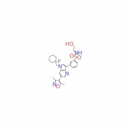 Cc1noc(C)c1-c1cnc2c(-c3cccc(S(=O)(=O)NCCO)c3)cn(CC3(F)CCCCC3)c2c1